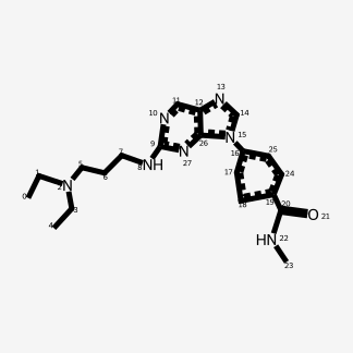 CCN(CC)CCCNc1ncc2ncn(-c3ccc(C(=O)NC)cc3)c2n1